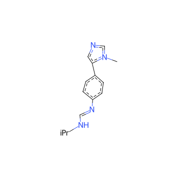 CC(C)NC=Nc1ccc(-c2cncn2C)cc1